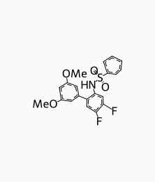 COc1cc(OC)cc(-c2cc(F)c(F)cc2NS(=O)(=O)c2ccccc2)c1